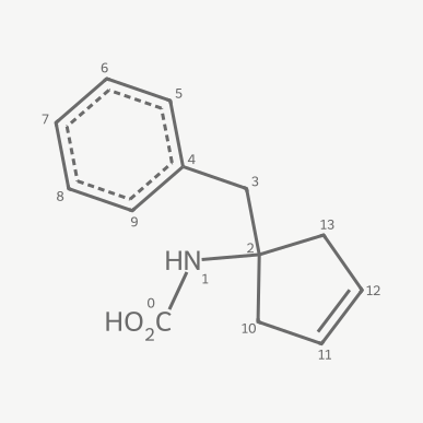 O=C(O)NC1(Cc2ccccc2)CC=CC1